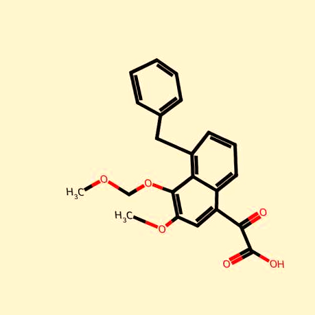 COCOc1c(OC)cc(C(=O)C(=O)O)c2cccc(Cc3ccccc3)c12